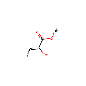 CC=C(O)C(=O)OCCC